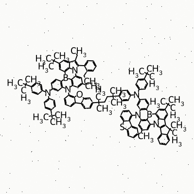 CCc1ccccc1-c1c(CC)c2cc(C(C)(C)C)cc3c2n1-c1cc(C)cc2c1B3c1ccc(N(c3ccc(C(C)(C)C)cc3)c3ccc(C(C)(C)C)cc3)cc1N2c1cccc2c1oc1cc(C(C)(C)CCC(C)(C)c3ccc(N(c4ccc(C(C)(C)C)cc4)c4ccc5c(c4)N(c4cccc6sc7ccccc7c46)c4cc(C)cc6c4B5c4cc(C(C)(C)C)cc5c7c(n-6c45)-c4ccccc4C7(C)C)cc3)ccc12